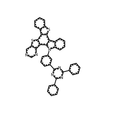 c1ccc(-c2nc(-c3ccccc3)nc(-c3cccc(-n4c5ccccc5c5c6sc7ccccc7c6c6sc7cncnc7c6c54)c3)n2)cc1